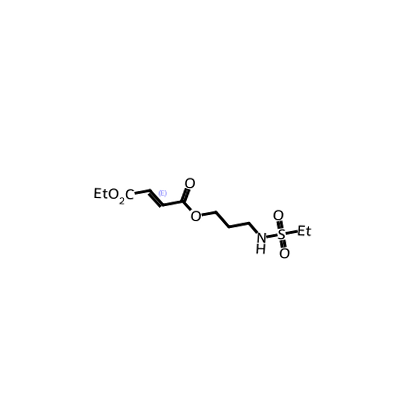 CCOC(=O)/C=C/C(=O)OCCCNS(=O)(=O)CC